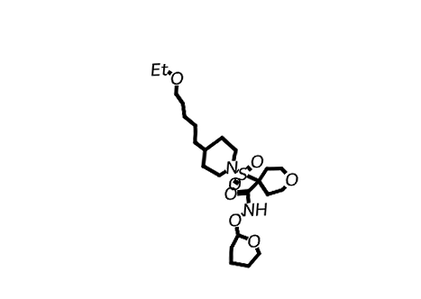 CCOCCCCCC1CCN(S(=O)(=O)C2(C(=O)NOC3CCCCO3)CCOCC2)CC1